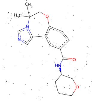 CC1(C)COc2ccc(C(=O)N[C@@H]3CCCOC3)cc2-c2cncn21